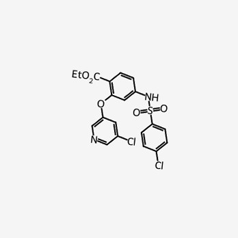 CCOC(=O)c1ccc(NS(=O)(=O)c2ccc(Cl)cc2)cc1Oc1cncc(Cl)c1